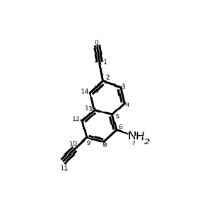 C#Cc1ccc2c(N)cc(C#C)cc2c1